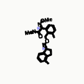 CNC(=O)/C(=N/OC)c1cccc(C)c1CO/N=C1\CCc2c(C)cccc21